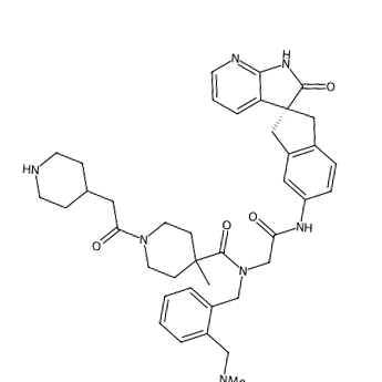 CNCc1ccccc1CN(CC(=O)Nc1ccc2c(c1)C[C@@]1(C2)C(=O)Nc2ncccc21)C(=O)C1(C)CCN(C(=O)CC2CCNCC2)CC1